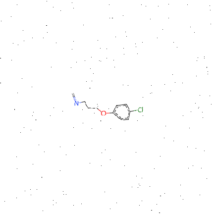 C=NCCCOc1ccc(Cl)cc1